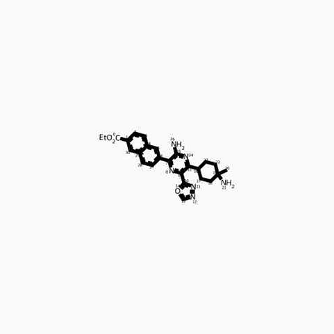 CCOC(=O)c1ccc2cc(-c3nc(-c4nnco4)c(C4CCC(C)(N)CC4)nc3N)ccc2c1